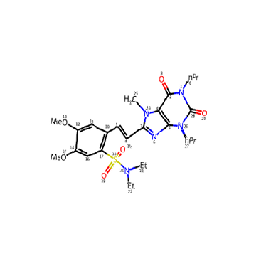 CCCn1c(=O)c2c(nc(C=Cc3cc(OC)c(OC)cc3S(=O)(=O)N(CC)CC)n2C)n(CCC)c1=O